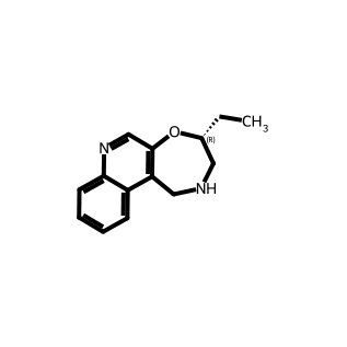 CC[C@@H]1CNCc2c(cnc3ccccc23)O1